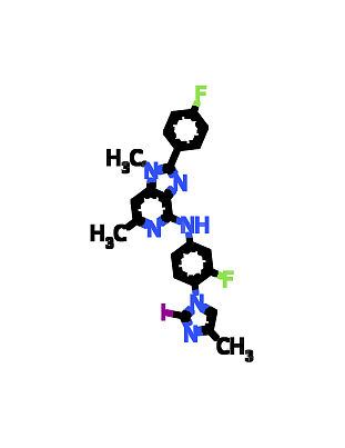 Cc1cc2c(nc(-c3ccc(F)cc3)n2C)c(Nc2ccc(-n3cc(C)nc3I)c(F)c2)n1